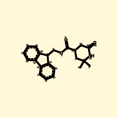 CC1(C)CN(C(=O)OCC2c3ccccc3-c3ccccc32)CC(=O)N1